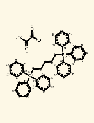 O=C([O-])C(=O)[O-].c1ccc([P+](CCCCC[P+](c2ccccc2)(c2ccccc2)c2ccccc2)(c2ccccc2)c2ccccc2)cc1